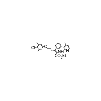 CCOC(=O)c1[nH]c2c(-c3cnccc3C)cccc2c1CCCOc1cc(C)c(Cl)c(C)c1